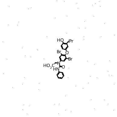 CC(C)c1cc(Oc2c(Br)cc(N(CC(=O)O)C(=O)Nc3ccccc3)cc2Br)ccc1O